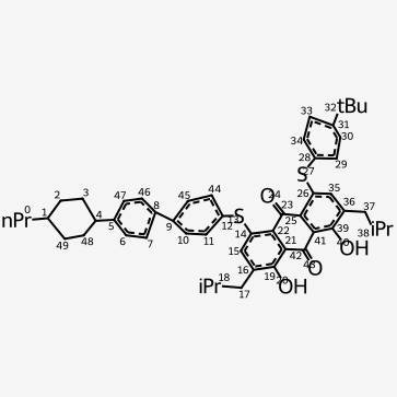 CCCC1CCC(c2ccc(-c3ccc(Sc4cc(CC(C)C)c(O)c5c4C(=O)c4c(Sc6ccc(C(C)(C)C)cc6)cc(CC(C)C)c(O)c4C5=O)cc3)cc2)CC1